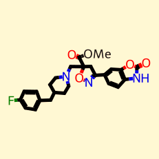 COC(=O)C1(CN2CCC(Cc3ccc(F)cc3)CC2)CC(c2ccc3[nH]c(=O)oc3c2)=NO1